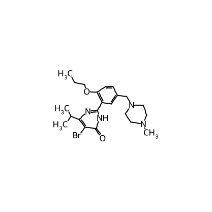 CCCOc1ccc(CN2CCN(C)CC2)cc1-c1nc(C(C)C)c(Br)c(=O)[nH]1